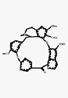 COc1ccc2cc1Oc1ccc(cc1)C(=O)c1nccc3cc(OC)c(cc13)Oc1c(OC)c(OC)cc3c1C(C2)N(C)CC3